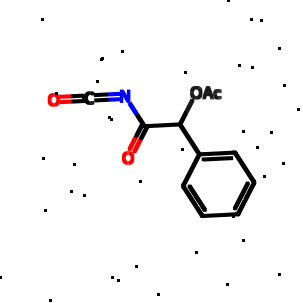 CC(=O)OC(C(=O)N=C=O)c1ccccc1